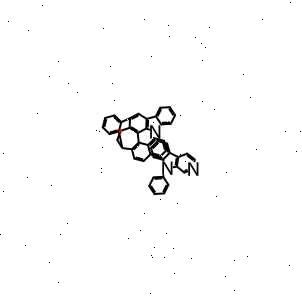 c1ccc(-n2c3ccc(-n4c5ccccc5c5cc6c7c(c54)-c4c(ccc5ccccc45)C(CC7)c4ccccc4-6)cc3c3ccncc32)cc1